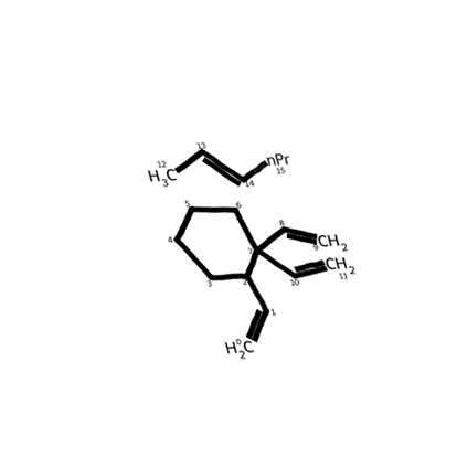 C=CC1CCCCC1(C=C)C=C.CC=CCCC